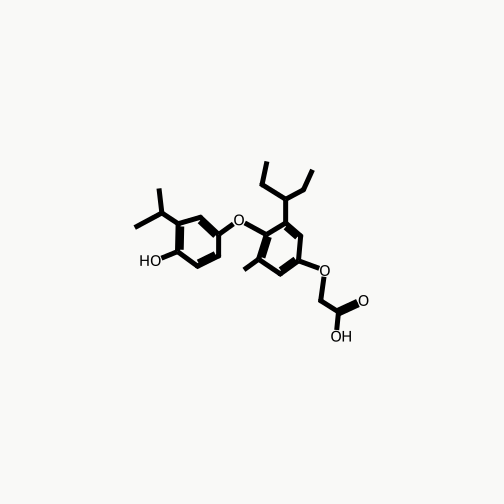 CCC(CC)c1cc(OCC(=O)O)cc(C)c1Oc1ccc(O)c(C(C)C)c1